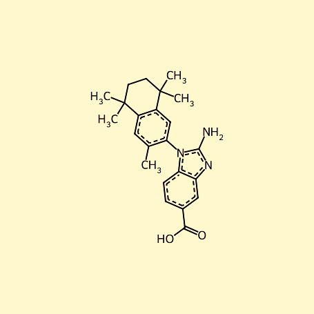 Cc1cc2c(cc1-n1c(N)nc3cc(C(=O)O)ccc31)C(C)(C)CCC2(C)C